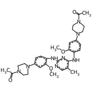 COc1cc(N2CCN(C(C)=O)CC2)ccc1Nc1ncc(C)c(Nc2ccc(N3CCN(C(C)=O)CC3)cc2OC)n1